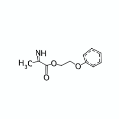 CC(=N)C(=O)OCCOc1ccccc1